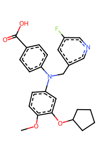 COc1ccc(N(Cc2cncc(F)c2)c2ccc(C(=O)O)cc2)cc1OC1CCCC1